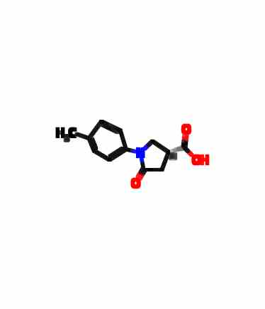 Cc1ccc(N2C[C@H](C(=O)O)CC2=O)cc1